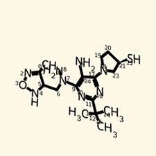 CC1=NONC1CN(N)c1nc(C(C)(C)C)nc(N2CC[C@@H](S)C2)c1N